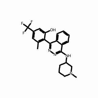 Cc1cc(C(F)(F)F)cc(O)c1-c1nnc(NC2CCCN(C)C2)c2ccccc12